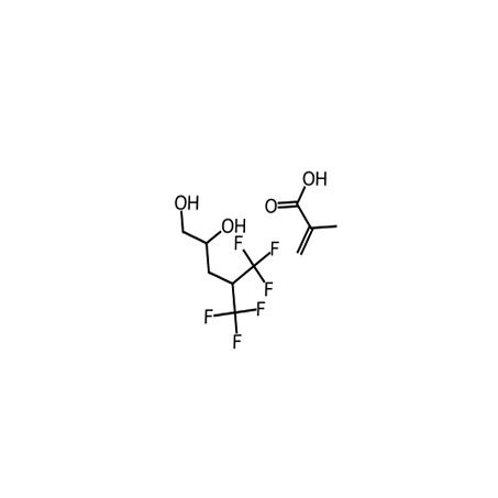 C=C(C)C(=O)O.OCC(O)CC(C(F)(F)F)C(F)(F)F